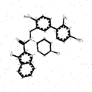 CC[C@H]1CC[C@H](N(Cc2cc(-c3ccc(N)nc3C)ccc2OC)C(=O)c2sc3ccccc3c2Cl)CC1